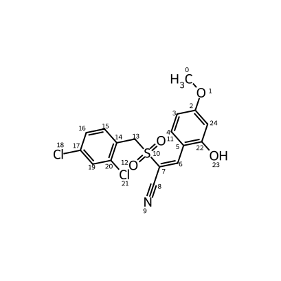 COc1ccc(C=C(C#N)S(=O)(=O)Cc2ccc(Cl)cc2Cl)c(O)c1